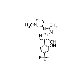 Cc1c(-c2ccc(C(F)(F)F)cc2O)nnc2c1nc(C)n2[C@@H]1CCCN(C)C1